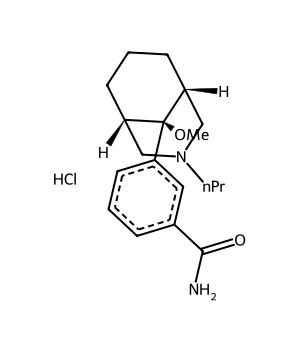 CCCN1C[C@H]2CCC[C@@H](C1)[C@@]2(OC)c1cccc(C(N)=O)c1.Cl